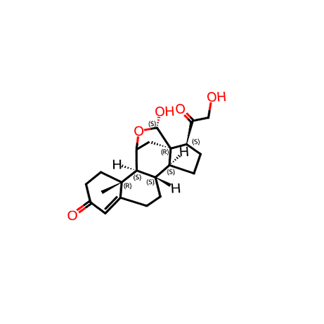 C[C@]12CCC(=O)C=C1CC[C@H]1[C@@H]3CC[C@H](C(=O)CO)[C@@]34CC(O[C@@H]4O)[C@@H]12